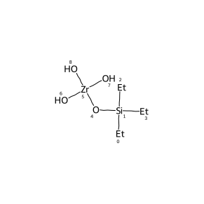 CC[Si](CC)(CC)[O][Zr]([OH])([OH])[OH]